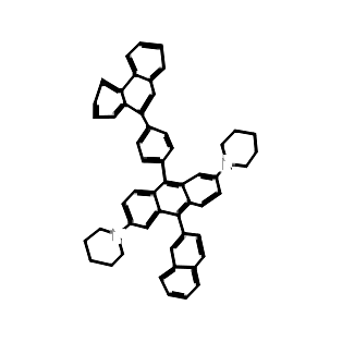 c1ccc2cc(-c3c4ccc(N5CCCCC5)cc4c(-c4ccc(-c5cc6ccccc6c6ccccc56)cc4)c4ccc(N5CCCCC5)cc34)ccc2c1